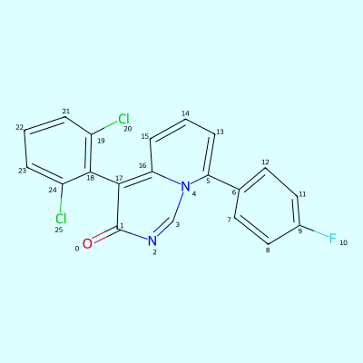 O=c1ncn2c(-c3ccc(F)cc3)cccc2c1-c1c(Cl)cccc1Cl